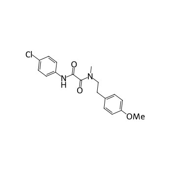 COc1ccc(CCN(C)C(=O)C(=O)Nc2ccc(Cl)cc2)cc1